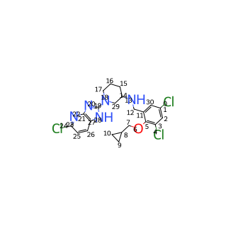 Clc1cc(Cl)c(OCC2CC2)c(CNC2CCCN(c3nc4nc(Cl)ccc4[nH]3)C2)c1